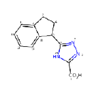 O=C(O)c1nnc(C2CCc3ccccc32)[nH]1